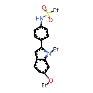 CCOc1ccc2cc(-c3ccc(NS(=O)(=O)CC)cc3)n(CC)c2c1